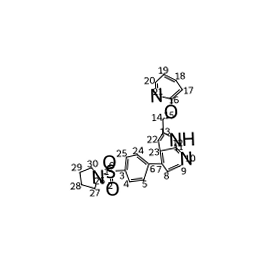 O=S(=O)(c1ccc(-c2ccnc3[nH]c(COc4ccccn4)cc23)cc1)N1CCCC1